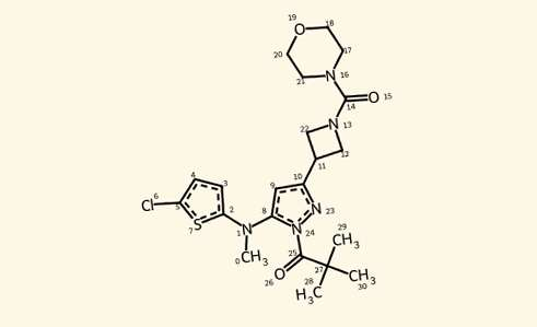 CN(c1ccc(Cl)s1)c1cc(C2CN(C(=O)N3CCOCC3)C2)nn1C(=O)C(C)(C)C